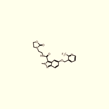 Cn1nc2ccc(OCc3cccnc3C(F)(F)F)cc2c1C(=O)NCCN1CCOC1=O